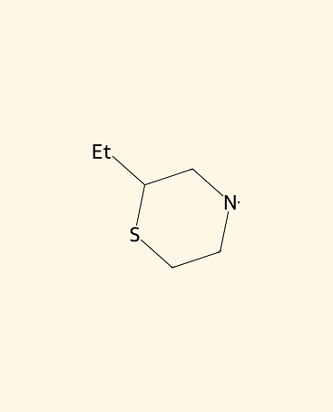 CCC1C[N]CCS1